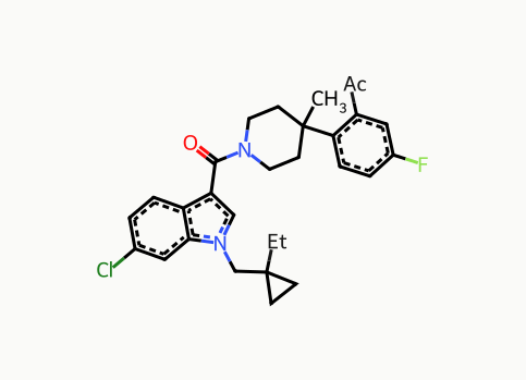 CCC1(Cn2cc(C(=O)N3CCC(C)(c4ccc(F)cc4C(C)=O)CC3)c3ccc(Cl)cc32)CC1